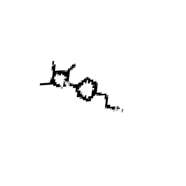 Cc1nn(-c2ccc(CCN)cc2)c(C)c1I